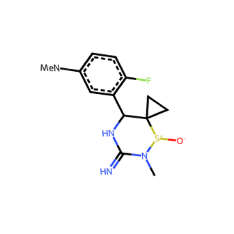 CNc1ccc(F)c(C2NC(=N)N(C)[S+]([O-])C23CC3)c1